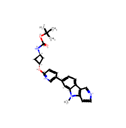 Cn1c2ccncc2c2ccc(-c3ccc(O[C@H]4C[C@H](NC(=O)OC(C)(C)C)C4)nc3)cc21